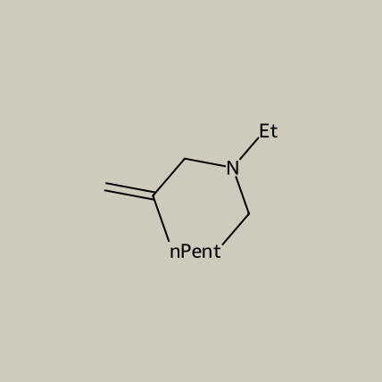 C=C(C)CN(CC)CCCCCC